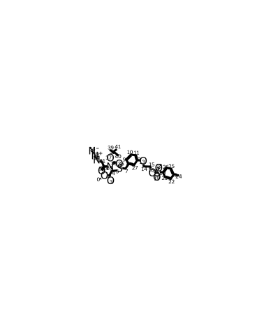 COC(=O)C(CSCc1cccc(OCCOS(=O)(=O)c2ccc(C)cc2)c1)N(C(=O)CN=[N+]=[N-])C(=O)OC(C)(C)C